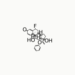 C=C(Oc1ccccc1)[C@@]1(O)CC[C@H]2[C@@H]3CC(F)C4=CC(=O)C=C[C@]4(C)[C@H]3C(O)C[C@@]21C